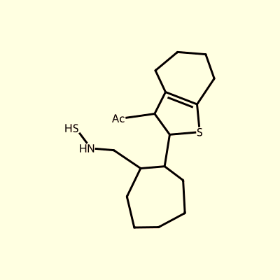 CC(=O)C1C2=C(CCCC2)SC1C1CCCCCC1CNS